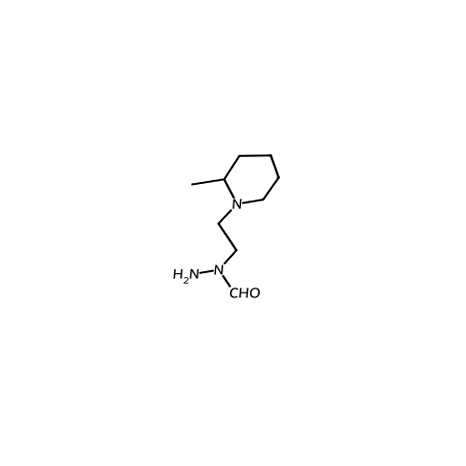 CC1CCCCN1CCN(N)C=O